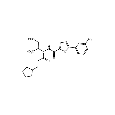 O=CCC(C(=O)O)N(NC(=O)c1ccc(-c2cccc(C(F)(F)F)c2)o1)C(=O)CCC1CCCC1